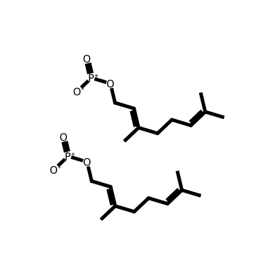 CC(C)=CCCC(C)=CCO[P+](=O)[O-].CC(C)=CCCC(C)=CCO[P+](=O)[O-]